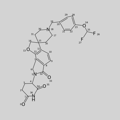 O=C1CCC(N2Cc3c(ccc4c3OCC43CCN(Cc4ccc(OC(F)F)cc4)CC3)C2=O)C(=O)N1